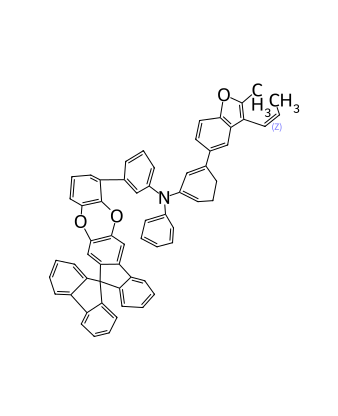 C/C=C\c1c(C)oc2ccc(C3=CC(N(c4ccccc4)c4cccc(-c5cccc6c5Oc5cc7c(cc5O6)C5(c6ccccc6-c6ccccc65)c5ccccc5-7)c4)=CCC3)cc12